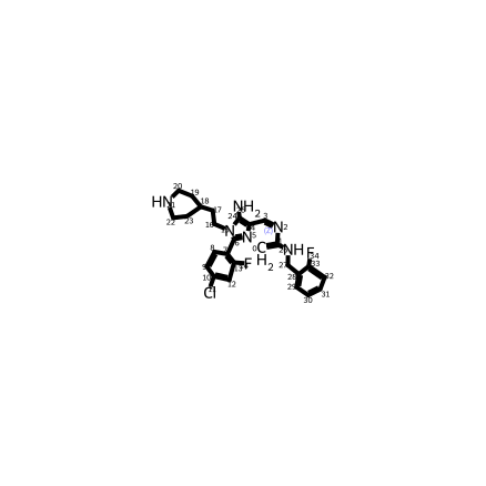 C=C(/N=C\c1nc(-c2ccc(Cl)cc2F)n(CCC2CCNCC2)c1N)NCc1ccccc1F